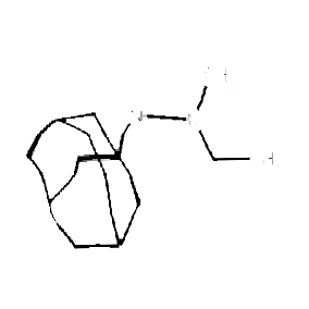 CCN(C)NC12CC3CC(CC(C3)C1)C2